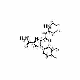 Cc1ccc(-c2sc(C(N)=O)nc2C(=O)[CH]C2CCCCN2)cc1C